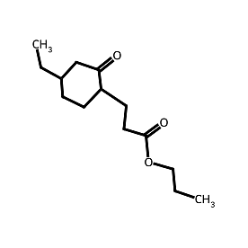 CCCOC(=O)CCC1CCC(CC)CC1=O